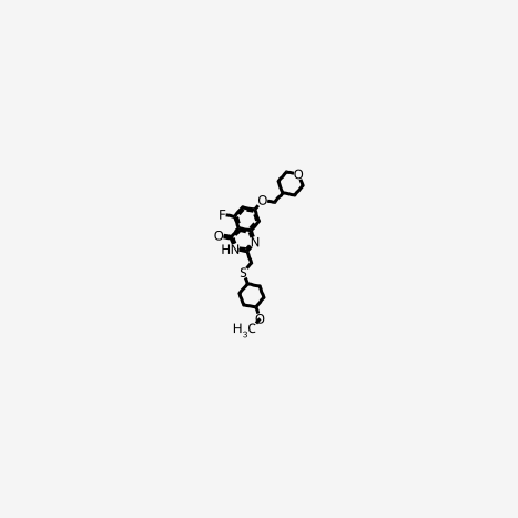 COC1CCC(SCc2nc3cc(OCC4CCOCC4)cc(F)c3c(=O)[nH]2)CC1